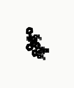 Cc1ccccc1N/C(=N\C#N)N1CCN(S(=O)(=O)c2cnn(-c3ccccc3)c2C)C(c2ccccc2)C1